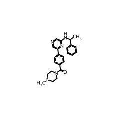 CC(Nc1cncc(-c2ccc(C(=O)N3CCN(C)CC3)cc2)n1)c1ccccc1